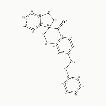 O=C1c2ccc(OCc3ccccc3)cc2CCC12CCc1ccccc12